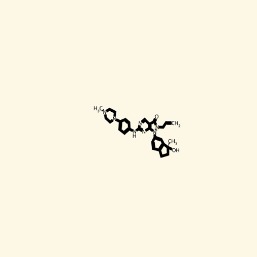 C=CCn1c(=O)c2cnc(Nc3ccc(N4CCN(C)CC4)cc3)nc2n1-c1ccc2c(c1)[C@@](C)(O)CC2